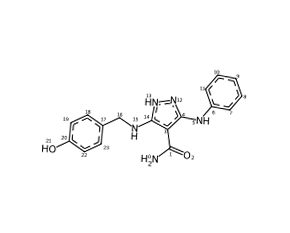 NC(=O)c1c(Nc2ccccc2)n[nH]c1NCc1ccc(O)cc1